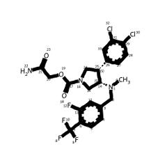 CN(Cc1ccc(C(F)(F)F)c(F)c1)[C@@H]1CN(C(=O)OCC(N)=O)C[C@@H]1c1ccc(Cl)c(Cl)c1